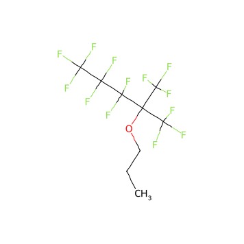 CCCOC(C(F)(F)F)(C(F)(F)F)C(F)(F)C(F)(F)C(F)(F)F